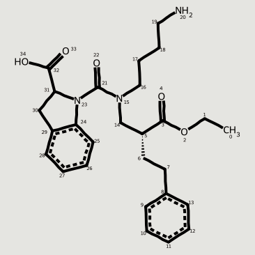 CCOC(=O)[C@H](CCc1ccccc1)CN(CCCCN)C(=O)N1c2ccccc2CC1C(=O)O